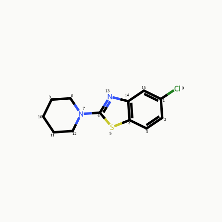 Clc1ccc2sc(N3CCCCC3)nc2c1